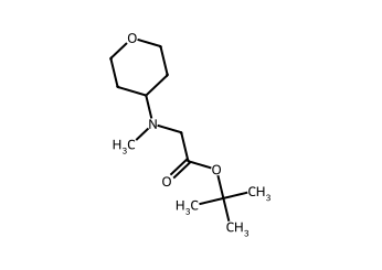 CN(CC(=O)OC(C)(C)C)C1CCOCC1